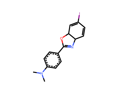 CN(C)c1ccc(C2=NC3C=CC(I)=CC3O2)cc1